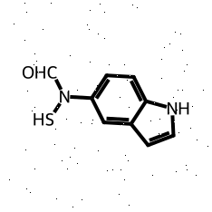 O=CN(S)c1ccc2[nH]ccc2c1